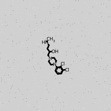 CNCCC(O)CN1CCN(c2cccc(Cl)c2Cl)CC1